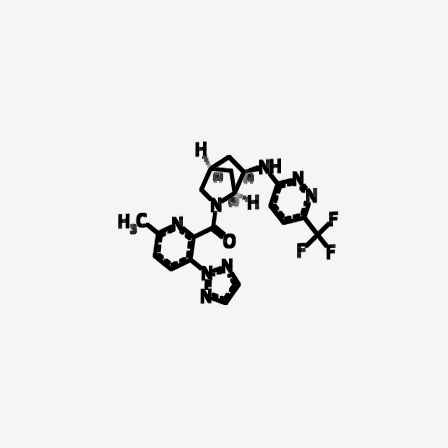 Cc1ccc(-n2nccn2)c(C(=O)N2C[C@H]3C[C@@H](Nc4ccc(C(F)(F)F)nn4)[C@@H]2C3)n1